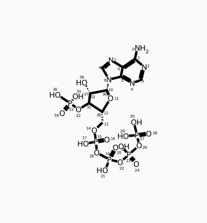 Nc1ncnc2c1ncn2[C@@H]1O[C@H](COP(=O)(O)OP(=O)(O)OP(=O)(O)OP(=O)(O)O)C(OP(=O)(O)O)[C@@H]1O